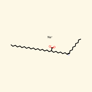 CCCCCCCC/C=C\CCCCCCC(CCCCCCCCCCCCCCCCCC)C(=O)[O-].[Na+]